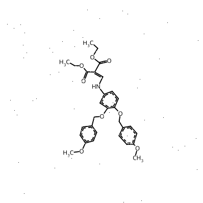 CCOC(=O)C(=CNc1ccc(OCc2ccc(OC)cc2)c(OCc2ccc(OC)cc2)c1)C(=O)OCC